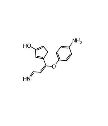 N=C/C=C(/Oc1ccc(N)cc1)C1=CC(O)=CC1